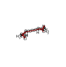 CCCC(c1ccc(OCC(=O)NCCOCCOCCOCCOCCOCCNC(=O)c2ccc(-c3ccc4c(c3)[C@H](Nc3ccc(Cl)cc3)C[C@H](C)N4C(C)=O)cc2)cc1)N(C)C(=O)C(C#N)Cc1nccs1